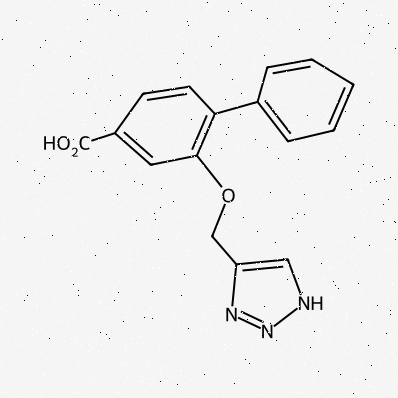 O=C(O)c1ccc(-c2ccccc2)c(OCc2c[nH]nn2)c1